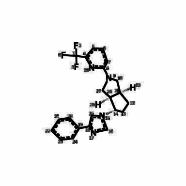 FC(F)(F)c1cccc(N2C[C@H]3CC[C@H](n4cnc(-c5ccccc5)c4)[C@H]3C2)n1